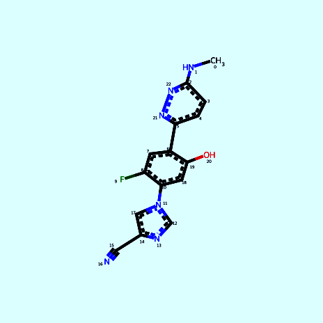 CNc1ccc(-c2cc(F)c(-n3cnc(C#N)c3)cc2O)nn1